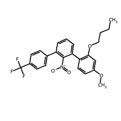 CCCCOc1cc(OC)ccc1-c1cccc(-c2ccc(C(F)(F)F)cc2)c1[N+](=O)[O-]